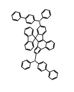 c1ccc(-c2ccc(N(c3ccccc3)c3ccc4c(c3)C3(c5ccccc5-c5ccccc53)c3c-4c4ccccc4c4cc(N(c5ccccc5)c5ccc(-c6ccccc6)cc5)ccc34)cc2)cc1